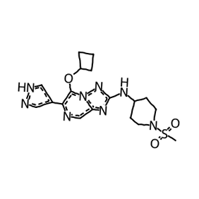 CS(=O)(=O)N1CCC(Nc2nc3cnc(-c4cn[nH]c4)c(OC4CCC4)n3n2)CC1